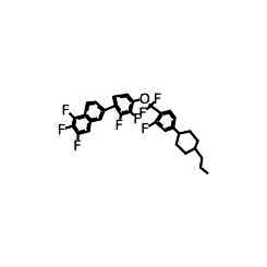 CCCC1CCC(c2ccc(C(F)(F)Oc3ccc(-c4ccc5c(F)c(F)c(F)cc5c4)c(F)c3F)c(F)c2)CC1